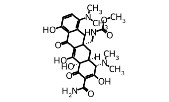 COC(=O)NC[C@@]12Cc3c(N(C)C)ccc(O)c3C(=O)C1=C(O)[C@]1(O)C(=O)C(C(N)=O)=C(O)[C@@H](N(C)C)[C@@H]1C2